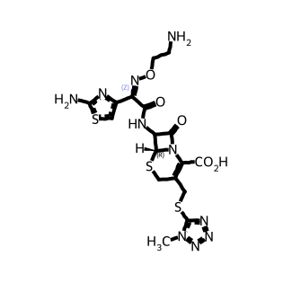 Cn1nnnc1SCC1=C(C(=O)O)N2C(=O)C(NC(=O)/C(=N\OCCN)c3csc(N)n3)[C@H]2SC1